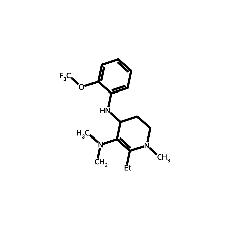 CCC1=C(N(C)C)C(Nc2ccccc2OC(F)(F)F)CCN1C